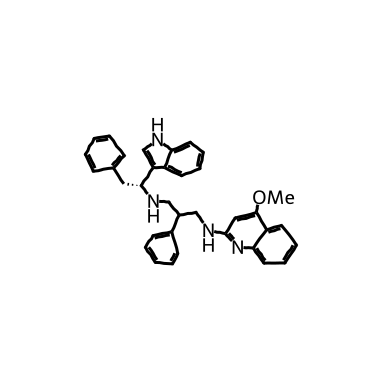 COc1cc(NCC(CN[C@H](Cc2ccccc2)c2c[nH]c3ccccc23)c2ccccc2)nc2ccccc12